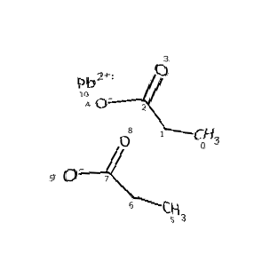 CCC(=O)[O-].CCC(=O)[O-].[Pb+2]